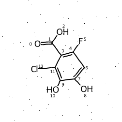 O=C(O)c1c(F)cc(O)c(O)c1Cl